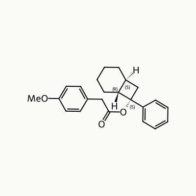 COc1ccc(CC(=O)O[C@@]2(c3ccccc3)C[C@@H]3CCCC[C@H]32)cc1